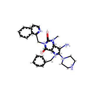 Cn1c(=O)n(Cc2nccc3ccccc23)c(=O)c2c1c(N)c(N1CCNCC1)n2Cc1ccccc1